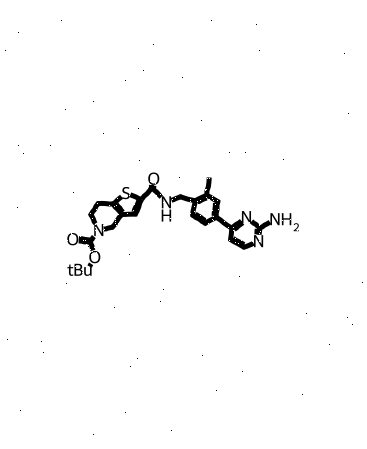 Cc1cc(-c2ccnc(N)n2)ccc1CNC(=O)c1cc2c(s1)CCN(C(=O)OC(C)(C)C)C2